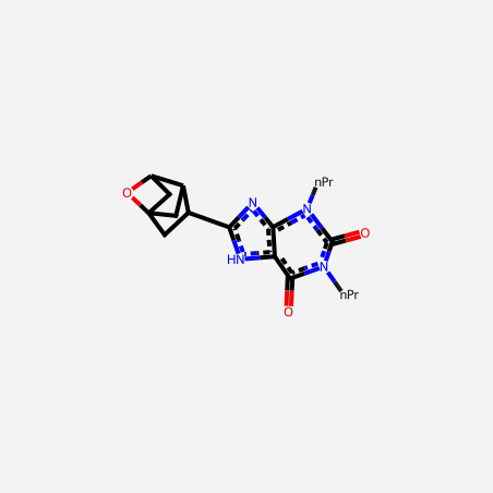 CCCn1c(=O)c2[nH]c(C3CC45CC(O4)C3C5)nc2n(CCC)c1=O